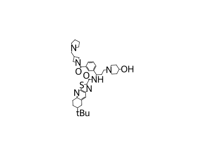 CC(C)(C)[C@H]1CCc2nc3sc(C(=O)NC(CCN4CCC(O)CC4)c4cccc(C(=O)N5CC(CN6CCCC6)C5)c4)nc3cc2C1